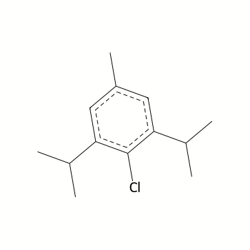 Cc1cc(C(C)C)c(Cl)c(C(C)C)c1